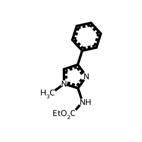 CCOC(=O)Nc1nc(-c2ccccc2)cn1C